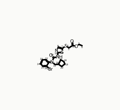 CCOC(=O)CSc1cnc(NC(=O)N(CC2CCCC2)c2ccccc2Br)s1